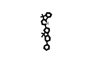 CC1(C)c2cc(-c3ccccc3)ccc2-c2ccc(-c3ccc4c(n3)-c3ccccc3C4(C)C)cc21